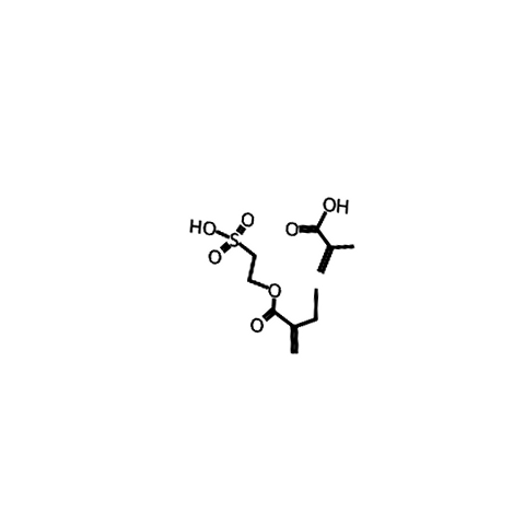 C=C(C)C(=O)O.C=C(CC)C(=O)OCCS(=O)(=O)O